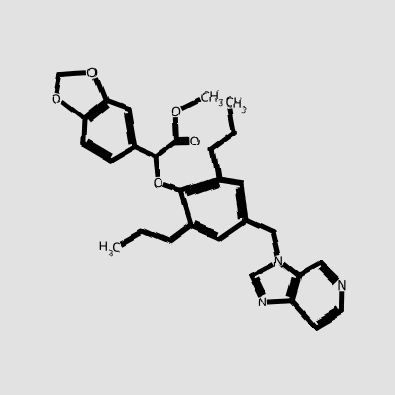 CCCc1cc(Cn2cnc3ccncc32)cc(CCC)c1OC(C(=O)OC)c1ccc2c(c1)OCO2